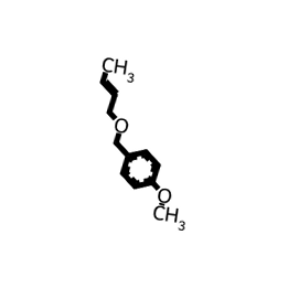 CC=CCOCc1ccc(OC)cc1